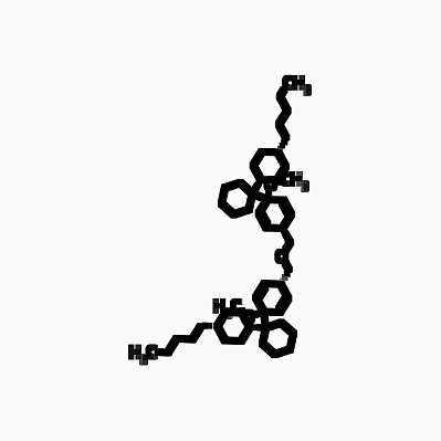 CCCCC[C@H]1CC[C@H](C2([C@]3(OC)C=C[C@H](COC[C@H]4C=C[C@@](OC)(C5([C@H]6CC[C@H](CCCCC)CC6)CCCCC5)C=C4)C=C3)CCCCC2)CC1